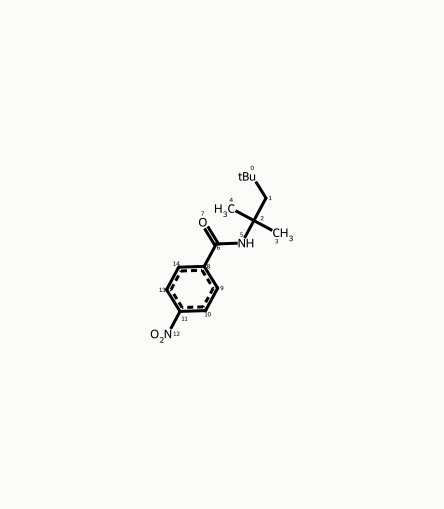 CC(C)(C)CC(C)(C)NC(=O)c1ccc([N+](=O)[O-])cc1